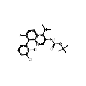 CN(C)c1c(NC(=O)OC(C)(C)C)cnc2c(-c3cccc(Cl)c3Cl)c(F)ccc12